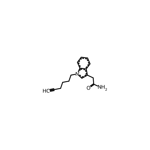 C#CCCCCn1cc(CC(N)=O)c2ccccc21